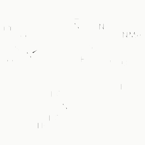 CNc1nc(N[C@H]2CC[C@H](NS(=O)(=O)CC(C)C)CC2)sc1C(=O)c1c(F)cc(CN(C)C)cc1F.Cl